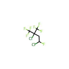 FC(Cl)CC(Cl)(C(F)(F)F)C(F)(F)F